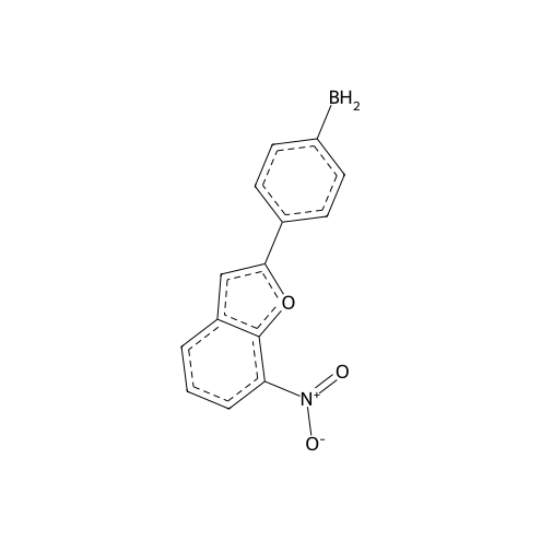 Bc1ccc(-c2cc3cccc([N+](=O)[O-])c3o2)cc1